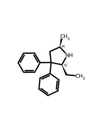 CC[C@@H]1N[C@H](C)CC1(c1ccccc1)c1ccccc1